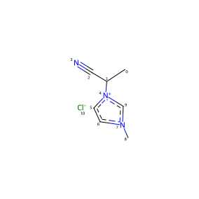 CC(C#N)[n+]1ccn(C)c1.[Cl-]